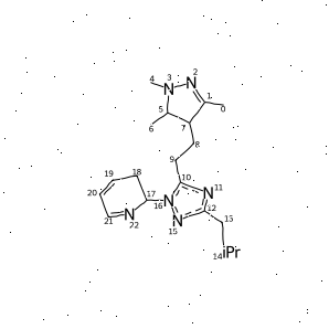 CC1=NN(C)C(C)C1CCc1nc(CC(C)C)nn1C1CC=CC=N1